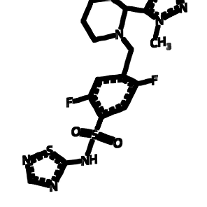 Cn1nccc1C1CCCCN1Cc1cc(F)c(S(=O)(=O)Nc2ncns2)cc1F